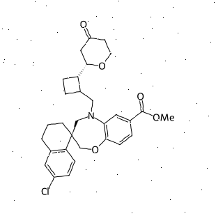 COC(=O)c1ccc2c(c1)N(CC1CCC1[C@@H]1CC(=O)CCO1)C[C@@]1(CCCc3cc(Cl)ccc31)CO2